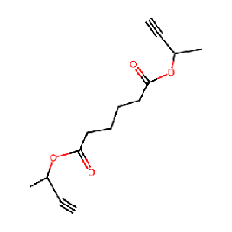 C#CC(C)OC(=O)CCCCC(=O)OC(C)C#C